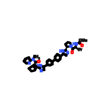 COC(=O)N[C@H](C(=O)N1CCC[C@H]1c1ncc(-c2ccc(-c3ccc(-c4cnc(C5C6CCC(C6)[C@@H]5C(=O)N(C)c5ccccn5)[nH]4)cc3)cc2)[nH]1)C(C)C